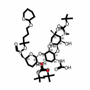 CN(C(=O)OC(C)(C)C)[C@@H]1[C@@H](O)[C@@H](O[C@@H]2[C@H](O)[C@H](O[C@H]3O[C@H](CN(C=O)OC(C)(C)CCCOC4CCCCO4)CC[C@H]3NC(=O)OC(C)(C)C)[C@@H](NC(=O)OC(C)(C)C)C[C@H]2NC(=O)O)OC[C@]1(C)O